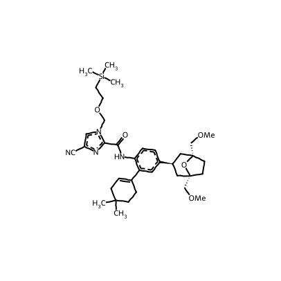 COC[C@@]12CC[C@@](COC)(C[C@@H](c3ccc(NC(=O)c4nc(C#N)cn4COCC[Si](C)(C)C)c(C4=CCC(C)(C)CC4)c3)C1)O2